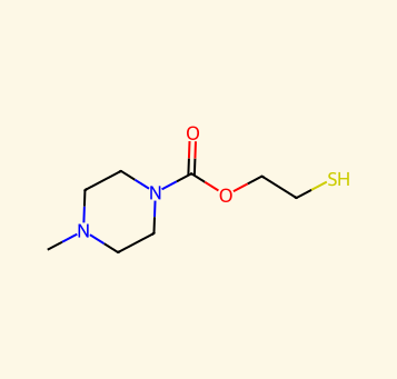 CN1CCN(C(=O)OCCS)CC1